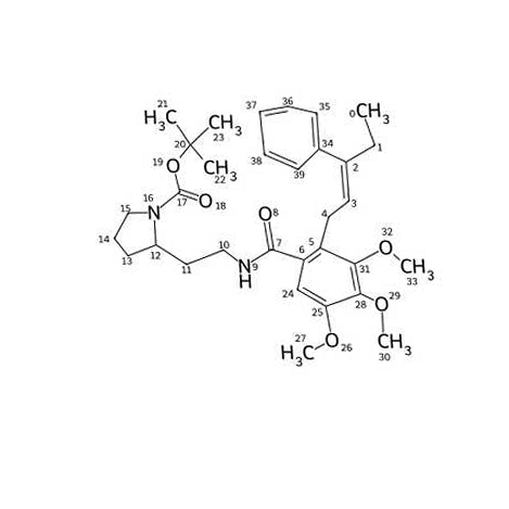 CCC(=CCc1c(C(=O)NCCC2CCCN2C(=O)OC(C)(C)C)cc(OC)c(OC)c1OC)c1ccccc1